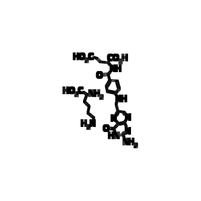 NCCCCC(N)C(=O)O.Nc1nc2ncc(CNc3ccc(C(=O)NC(CCC(=O)O)C(=O)O)cc3)nc2c(=O)[nH]1